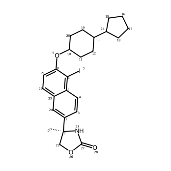 C[C@@]1(c2ccc3c(I)c(OC4CCC(C5CCCC5)CC4)ccc3c2)COC(=O)N1